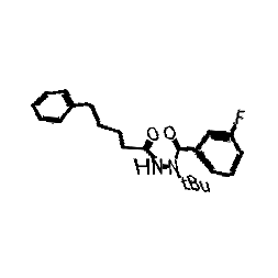 CC(C)(C)N(NC(=O)CCCCc1ccccc1)C(=O)c1cccc(F)c1